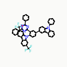 FC(F)(F)c1ccc2c3ccc(C(F)(F)F)cc3n(-c3ccc(-c4ccc5c(c4)c4ccccc4n5-c4ccccc4)cc3-c3nc(-c4ccccc4)nc(-c4ccccc4)n3)c2c1